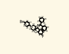 Fc1ccc2c(c1)OC1(CCN(c3ccc(Br)nc3)CC1)[C@@H]2N=C(c1ccccc1)c1ccccc1